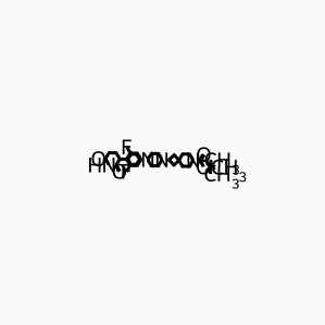 CC(C)(C)OC(=O)N1CCC2(CC1)CC(N1CCN(c3cc(F)c(C4CCC(=O)NC4=O)c(F)c3)CC1)C2